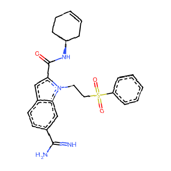 N=C(N)c1ccc2cc(C(=O)N[C@@H]3CC=CCC3)n(CCS(=O)(=O)c3ccccc3)c2c1